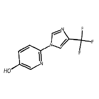 Oc1ccc(-n2cnc(C(F)(F)F)c2)nc1